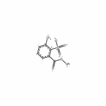 CCCOC(=O)c1cccc(C(F)(F)F)c1S(=O)(=O)Cl